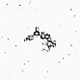 CCc1cc(-c2ccc3c(ccc4sc5c(c43)NCC(C)NC5=O)n2)cc(N2CCNCC2)c1